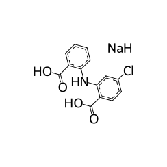 O=C(O)c1ccccc1Nc1cc(Cl)ccc1C(=O)O.[NaH]